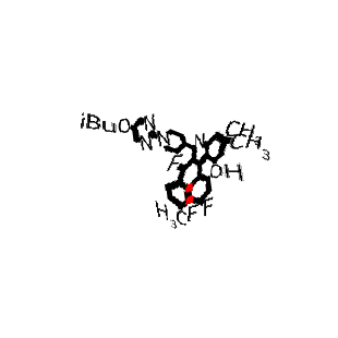 Cc1ccc(C(F)c2c(C3CCN(c4ncc(OCC(C)C)cn4)CC3)nc3c(c2C2CCC(F)(F)CC2)C(O)CC(C)(C)C3)cc1